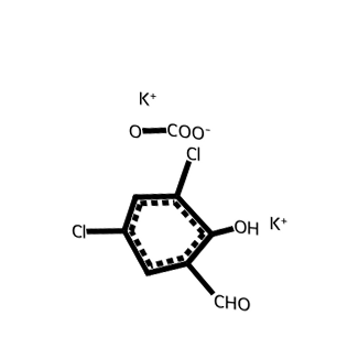 O=C([O-])[O-].O=Cc1cc(Cl)cc(Cl)c1O.[K+].[K+]